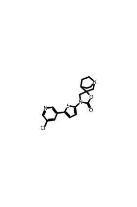 O=C1OC2(CN3CCC2CC3)CN1c1ccc(-c2cncc(Cl)c2)s1